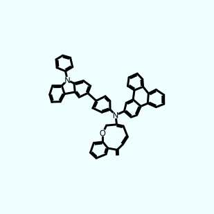 C=C1/C=C\C=C(\N(c2ccc(-c3ccc4c(c3)c3ccccc3n4-c3ccccc3)cc2)c2ccc3c4ccccc4c4ccccc4c3c2)COc2ccccc21